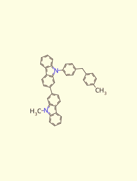 Cc1ccc(Cc2ccc(-n3c4ccccc4c4ccc(-c5ccc6c7ccccc7n(C)c6c5)cc43)cc2)cc1